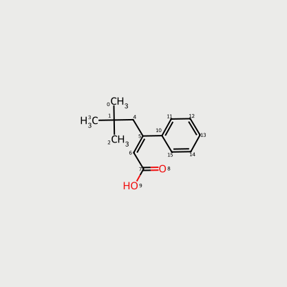 CC(C)(C)CC(=CC(=O)O)c1ccccc1